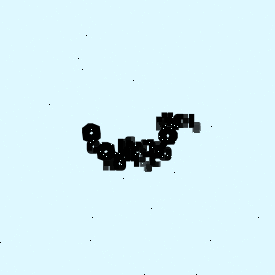 CC1CN(c2nc(C(O)c3ccc(Oc4ccccc4)cc3)ns2)CCN1C(=O)c1ccc2c(c1)nnn2C